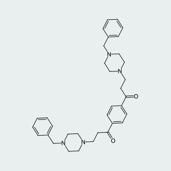 O=C(CCN1CCN(Cc2ccccc2)CC1)c1ccc(C(=O)CCN2CCN(Cc3ccccc3)CC2)cc1